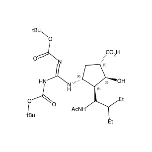 CCC(CC)C(NC(C)=O)[C@@H]1[C@H](O)[C@@H](C(=O)O)C[C@H]1NC(=NC(=O)OC(C)(C)C)NC(=O)OC(C)(C)C